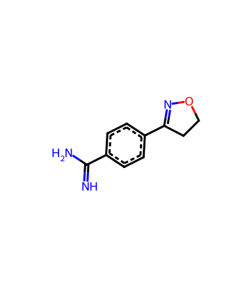 N=C(N)c1ccc(C2=NOCC2)cc1